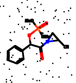 COP(=O)(OC)OC(C(=O)N1CC1C#N)c1ccccc1